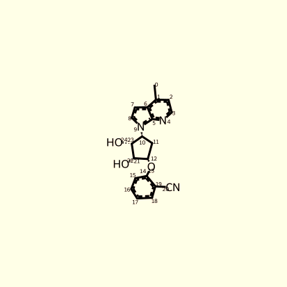 Cc1ccnc2c1ccn2[C@@H]1C[C@H](Oc2ccccc2C#N)[C@H](O)[C@@H]1O